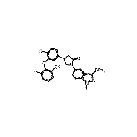 Cn1nc(N)c2cc(N3C[C@@H](c4ccc(Cl)c(Oc5c(F)cccc5C#N)c4)CC3=O)ccc21